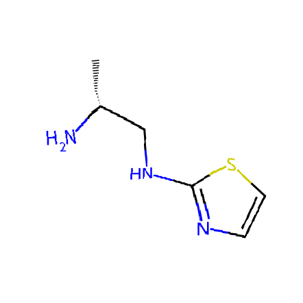 C[C@@H](N)CNc1nccs1